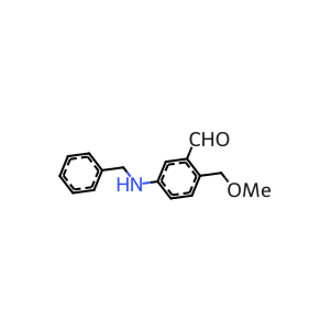 COCc1ccc(NCc2ccccc2)cc1C=O